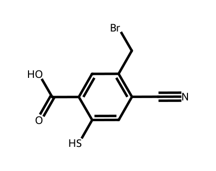 N#Cc1cc(S)c(C(=O)O)cc1CBr